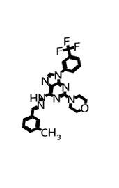 Cc1cccc(/C=N/Nc2nc(N3CCOCC3)nc3c2ncn3-c2cccc(C(F)(F)F)c2)c1